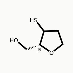 OC[C@H]1OCCC1S